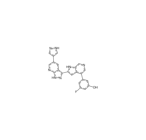 Oc1cc(F)cc(-c2cncc3[nH]c(-c4n[nH]c5ncc(-c6cn[nH]c6)cc45)cc23)c1